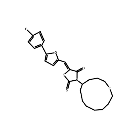 O=C1C(=Cc2ccc(-c3ccc(F)cc3)o2)SC(=S)N1C1CCCCCCCCCCC1